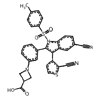 Cc1ccc(S(=O)(=O)n2c(-c3cccc(N4CC(C(=O)O)C4)c3)c(-c3ccsc3C#N)c3cc(C#N)ccc32)cc1